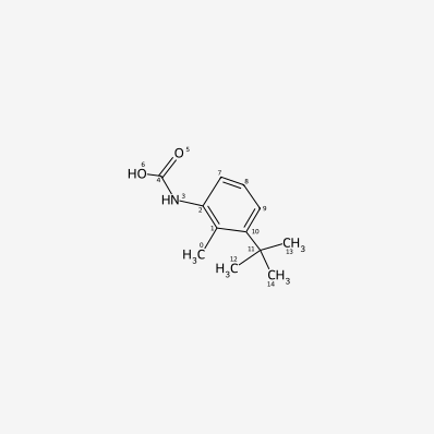 Cc1c(NC(=O)O)cccc1C(C)(C)C